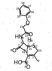 CC1=C(C(=O)O)N2C(=O)C(NC(=O)COc3ccccc3)[C@H]2SC1